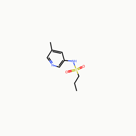 CCCS(=O)(=O)Nc1cncc(C)c1